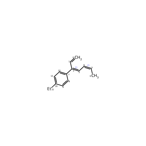 C=C/C(=C\C=C/C)c1ccc(CC)cc1